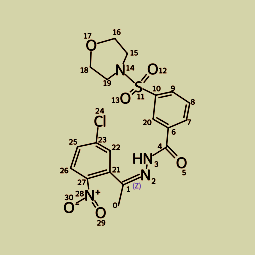 C/C(=N/NC(=O)c1cccc(S(=O)(=O)N2CCOCC2)c1)c1cc(Cl)ccc1[N+](=O)[O-]